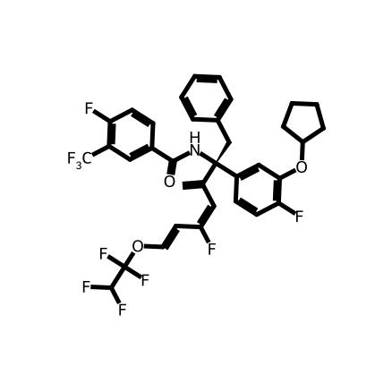 C=C(/C=C(F)\C=C\OC(F)(F)C(F)F)[C@](Cc1ccccc1)(NC(=O)c1ccc(F)c(C(F)(F)F)c1)c1ccc(F)c(OC2CCCC2)c1